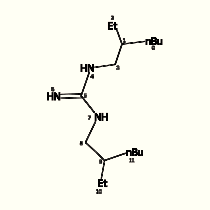 CCCCC(CC)CNC(=N)NCC(CC)CCCC